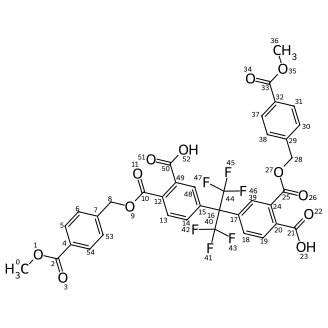 COC(=O)c1ccc(COC(=O)c2ccc(C(c3ccc(C(=O)O)c(C(=O)OCc4ccc(C(=O)OC)cc4)c3)(C(F)(F)F)C(F)(F)F)cc2C(=O)O)cc1